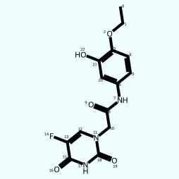 CCOc1ccc(NC(=O)Cn2cc(F)c(=O)[nH]c2=O)cc1O